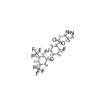 O=S(=O)(Cc1nncs1)c1cc(F)c(Oc2cc(C(F)(F)F)cc(C(F)(F)F)c2)cc1F